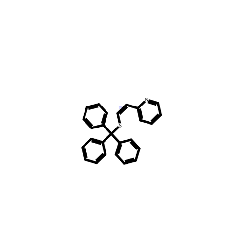 C(=C/c1ccccn1)/SC(c1ccccc1)(c1ccccc1)c1ccccc1